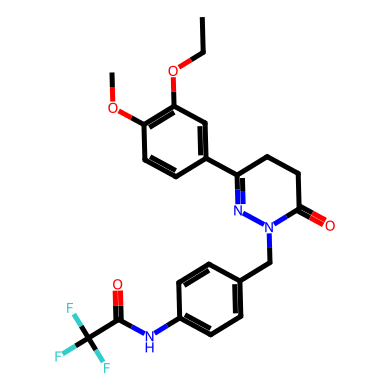 CCOc1cc(C2=NN(Cc3ccc(NC(=O)C(F)(F)F)cc3)C(=O)CC2)ccc1OC